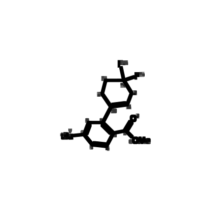 COC(=O)c1ccc(C(C)(C)C)cc1C1=CCC(F)(F)CC1